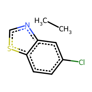 CC.Clc1ccc2scnc2c1